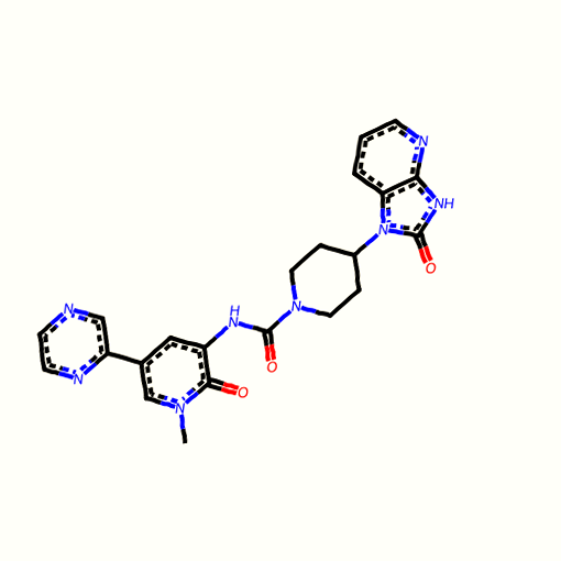 Cn1cc(-c2cnccn2)cc(NC(=O)N2CCC(n3c(=O)[nH]c4ncccc43)CC2)c1=O